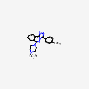 CCOC(=O)N1CCN(c2nn3c(-c4ccc(OC)cc4)nnc3c3ccccc23)CC1